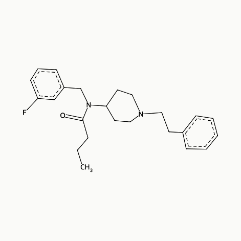 CCCC(=O)N(Cc1cccc(F)c1)C1CCN(CCc2ccccc2)CC1